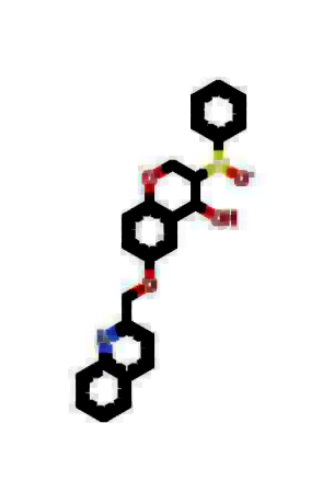 [O-][S+](c1ccccc1)C1COc2ccc(OCc3ccc4ccccc4n3)cc2C1O